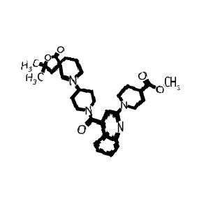 COC(=O)C1CCN(c2cc(C(=O)N3CCC(N4CCCC5(C4)CC(C)(C)OC5=O)CC3)c3ccccc3n2)CC1